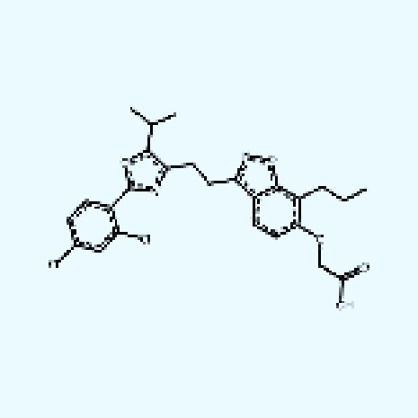 CCCc1c(OCC(=O)O)ccc2c(CCc3nc(-c4ccc(Cl)cc4Cl)oc3C(C)C)noc12